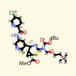 COC(=O)[C@]12CC1[C@@](C)(c1cc(NC(=O)c3ccc(Cl)cn3)cnc1F)N=C(N(COCC[Si](C)(C)C)C(=O)OC(C)(C)C)S2